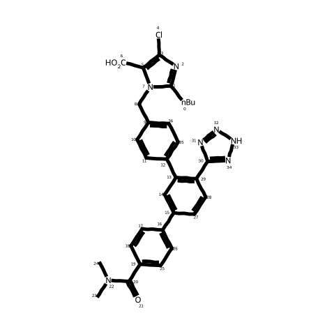 CCCCc1nc(Cl)c(C(=O)O)n1Cc1ccc(-c2cc(-c3ccc(C(=O)N(C)C)cc3)ccc2-c2nn[nH]n2)cc1